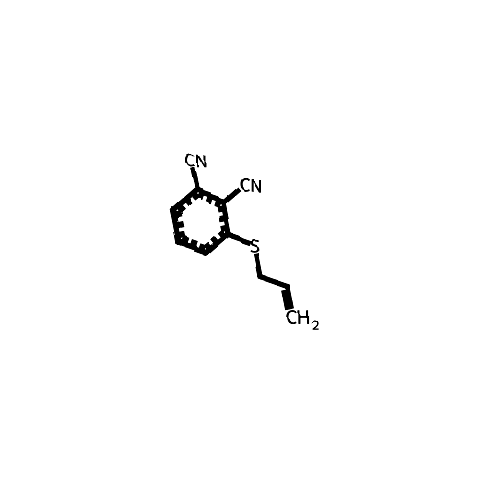 C=CCSc1cccc(C#N)c1C#N